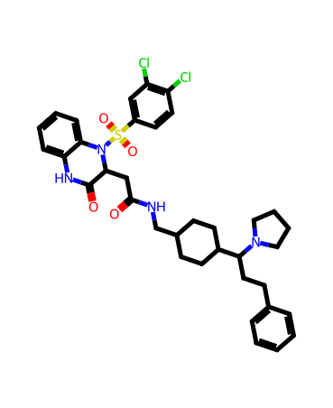 O=C(CC1C(=O)Nc2ccccc2N1S(=O)(=O)c1ccc(Cl)c(Cl)c1)NCC1CCC(C(CCc2ccccc2)N2CCCC2)CC1